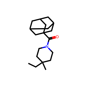 CCC1(C)CCN(C(=O)C23CC4CC(CC(C4)C2)C3)CC1